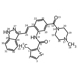 Cc1ccsc1C(=O)Nc1cc(C(=O)N2CCN(C)CC2)ccc1C=Cc1n[nH]c2ccccc12